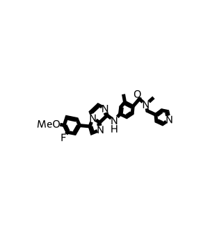 COc1ccc(-c2cnc3c(Nc4ccc(C(=O)N(C)Cc5ccncc5)c(C)c4)nccn23)cc1F